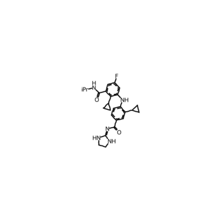 CC(C)NC(=O)c1cc(F)cc(Nc2ccc(C(=O)N=C3NCCN3)cc2C2CC2)c1C1CC1